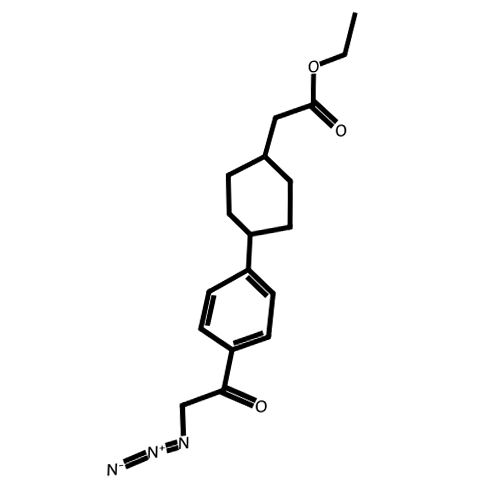 CCOC(=O)CC1CCC(c2ccc(C(=O)CN=[N+]=[N-])cc2)CC1